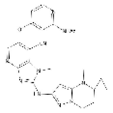 CC(=O)Nc1cc(Oc2cnc3nc(Nc4cc5n(n4)CCC4(CC4)N5C)n(C)c3c2C#N)ccn1